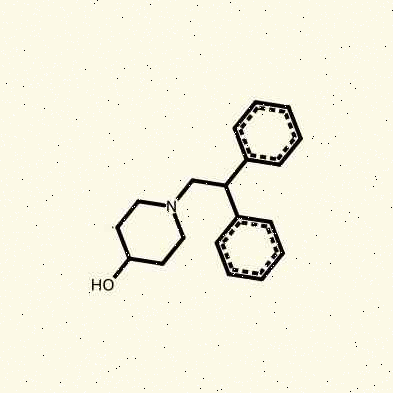 OC1[CH]CN(CC(c2ccccc2)c2ccccc2)CC1